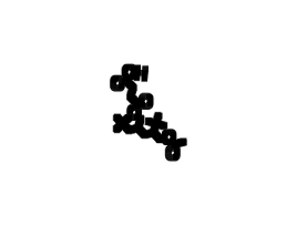 CC(=O)OCC(CC(COC(=O)CCC(=O)O)CC(C)(C)C)C(C)(C)C